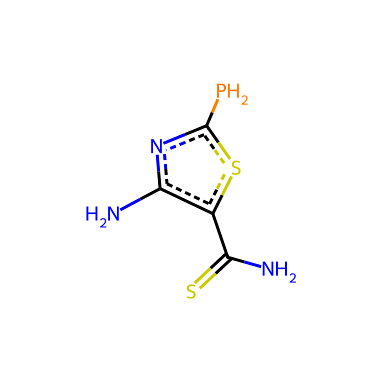 NC(=S)c1sc(P)nc1N